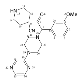 COc1cccc(C(C(=O)C2(C#N)CCNCC2)N2CCN(c3cnccn3)CC2)c1